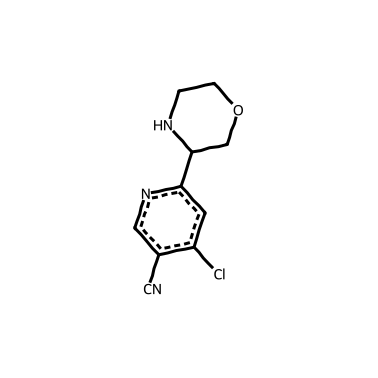 N#Cc1cnc(C2COCCN2)cc1Cl